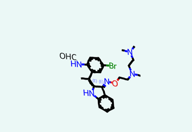 C/C(=C1\Nc2ccccc2\C1=N/OCCN(C)CCN(C)C)c1cc(Br)ccc1NC=O